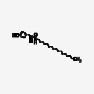 CCCCCCCCCCCCCCCCCNC(=O)NCc1ccc(O)cc1